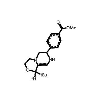 [2H]C1(C(C)(C)C)OCCN2CC(c3ccc(C(=O)OC)cc3)NC=C21